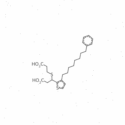 O=C(O)CCSC(CC(=O)O)c1sccc1CCCCCCCCc1ccccc1